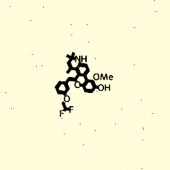 COc1c(O)ccc2c1-c1ccc3c(c1/C(=C/c1cccc(OCC(F)F)c1)O2)C(C)=CC(C)(C)N3